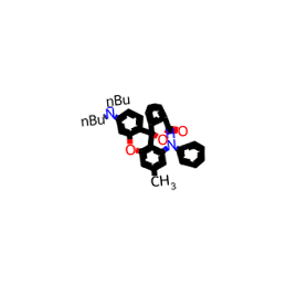 CCCCN(CCCC)c1ccc2c(c1)Oc1cc(C)cc(Nc3ccccc3)c1C21OC(=O)c2ccccc21